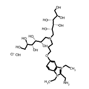 CCn1c(CN)[n+](CC)c2cc(OCCCN(C[C@H](O)[C@@H](O)[C@H](O)[C@H](O)CO)C[C@H](O)[C@@H](O)[C@H](O)[C@H](O)CO)ccc21.Cl.[Cl-]